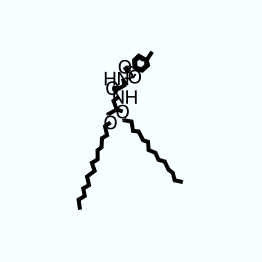 CCCCCCCCCCCCCCOCC(CNC(=O)CNS(=O)(=O)c1ccc(C)cc1)OCCCCCCCCCCCCCC